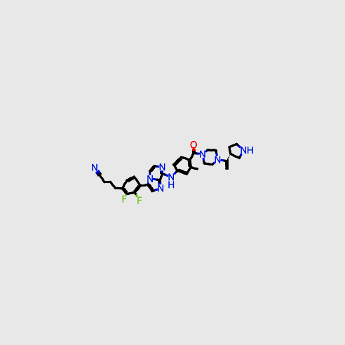 C=C([C@@H]1CCNC1)N1CCN(C(=O)c2ccc(Nc3nccn4c(-c5ccc(CCCC#N)c(F)c5F)cnc34)cc2C)CC1